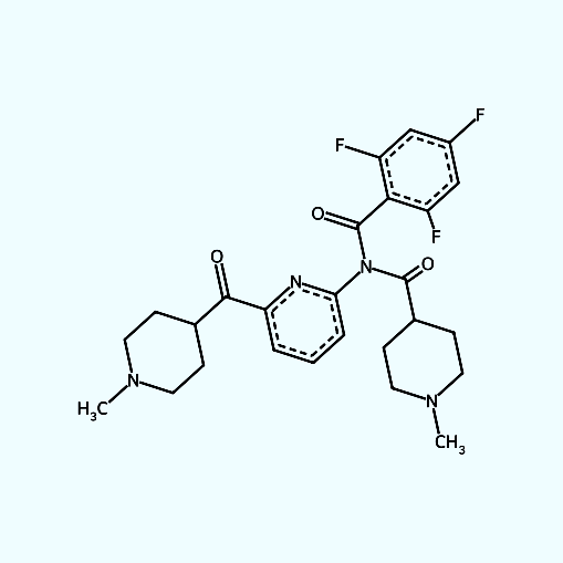 CN1CCC(C(=O)c2cccc(N(C(=O)c3c(F)cc(F)cc3F)C(=O)C3CCN(C)CC3)n2)CC1